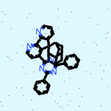 c1ccc(-c2nc(-c3ccccc3)nc(-c3ccnc4c3C3(c5cccnc5-4)C4CC5CC(C4)CC3C5)n2)cc1